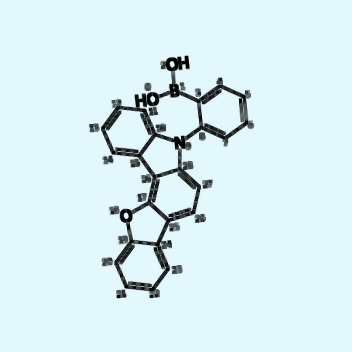 OB(O)c1ccccc1-n1c2ccccc2c2c3oc4ccccc4c3ccc21